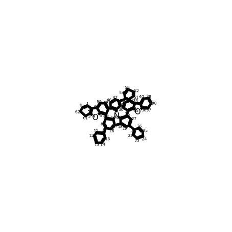 C1=Cc2c(oc3c(-c4cc(-c5ccccc5)cc5c6cc(-c7ccccc7)cc(-c7cccc8c7oc7ccccc78)c6n(-c6cccc(-c7ccccc7)c6)c45)cccc23)CC1